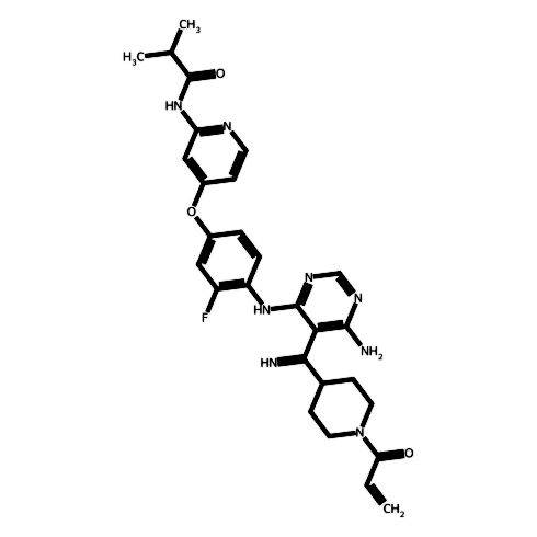 C=CC(=O)N1CCC(C(=N)c2c(N)ncnc2Nc2ccc(Oc3ccnc(NC(=O)C(C)C)c3)cc2F)CC1